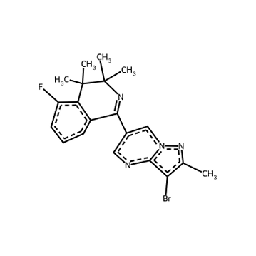 Cc1nn2cc(C3=NC(C)(C)C(C)(C)c4c(F)cccc43)cnc2c1Br